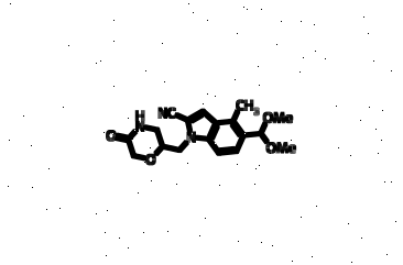 COC(OC)c1ccc2c(cc(C#N)n2CC2CNC(=O)CO2)c1C